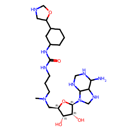 CN(CCCNC(=O)NC1CCCC(C2CNCO2)C1)C[C@H]1O[C@@H](N2CNC3C(N)NCNC32)[C@H](O)[C@@H]1O